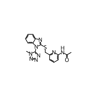 CC(=O)Nc1cccc(CSc2nc3ccccc3n2-c2nnnn2C)n1